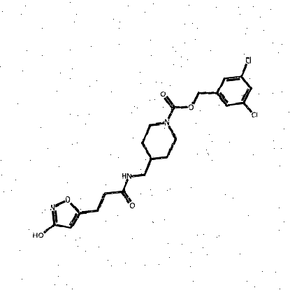 O=C(CCc1cc(O)no1)NCC1CCN(C(=O)OCc2cc(Cl)cc(Cl)c2)CC1